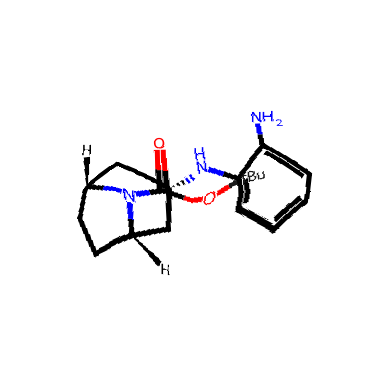 CC(C)(C)OC(=O)N1[C@@H]2CC[C@H]1C[C@@H](Nc1ccccc1N)C2